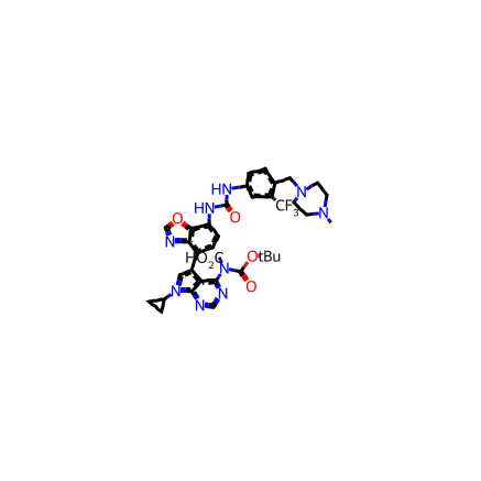 CN1CCN(Cc2ccc(NC(=O)Nc3ccc(-c4cn(C5CC5)c5ncnc(N(C(=O)O)C(=O)OC(C)(C)C)c45)c4ncoc34)cc2C(F)(F)F)CC1